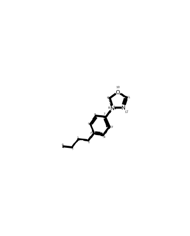 CCCCc1ccc(N2COC=N2)cc1